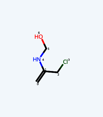 C=C(CCl)NCO